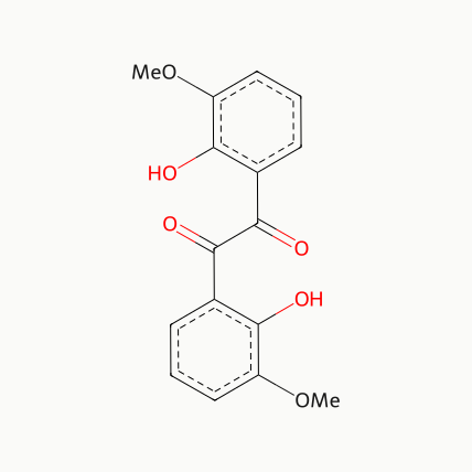 COc1cccc(C(=O)C(=O)c2cccc(OC)c2O)c1O